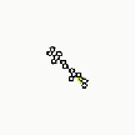 c1ccc2c(-c3c4ccccc4c(-c4ccc5cc(-c6ccc7c(c6)c6ccccc6c6c7ccc7c8ccc9ccccc9c8sc76)ccc5c4)c4ccccc34)cccc2c1